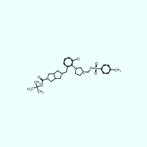 Cc1ccc(S(=O)(=O)OC[C@H]2CCN(c3c(Cl)cccc3CN3CC4CN(C(=O)OC(C)(C)C)CC4C3)C2)cc1